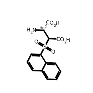 N[C@H](C(=O)O)C(C(=O)O)S(=O)(=O)c1cccc2ccccc12